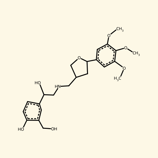 COc1cc(C2CC(CNCC(O)c3ccc(O)c(CO)c3)CO2)cc(OC)c1OC